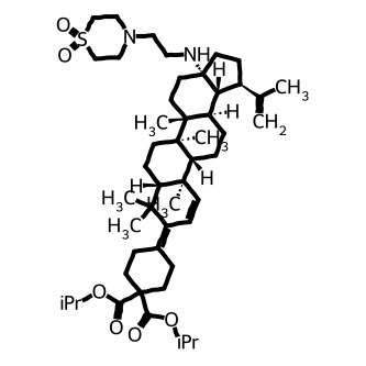 C=C(C)[C@@H]1CC[C@]2(NCCN3CCS(=O)(=O)CC3)CC[C@]3(C)[C@H](CC[C@@H]4[C@@]5(C)C=CC(=C6CCC(C(=O)OC(C)C)(C(=O)OC(C)C)CC6)C(C)(C)[C@@H]5CC[C@]43C)[C@@H]12